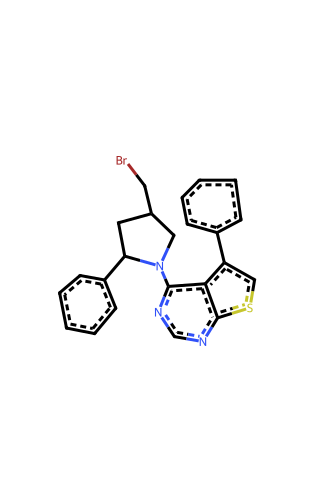 BrCC1CC(c2ccccc2)N(c2ncnc3scc(-c4ccccc4)c23)C1